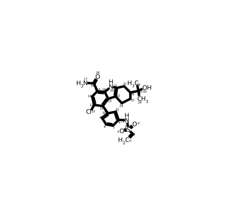 C=CS(=O)(=O)Nc1cccc(-c2c(Cl)cc(C(N)=O)c3[nH]c4c(c23)CCC(C(C)(C)O)C4)c1